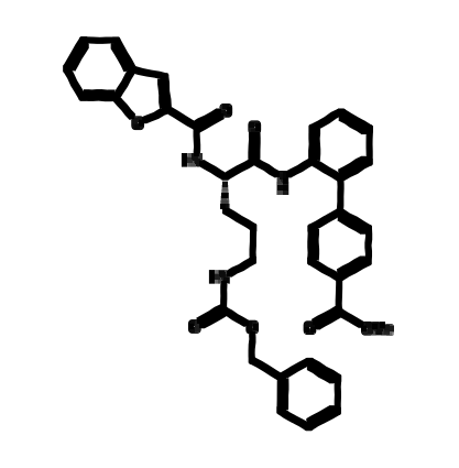 COC(=O)c1ccc(-c2ccccc2NC(=O)[C@H](CCCNC(=O)OCc2ccccc2)NC(=O)c2cc3ccccc3o2)cc1